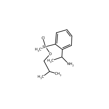 CC(C)C[O][Sn]([CH3])([Cl])[c]1ccccc1C(C)N